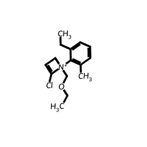 CCOC[N+]1(c2c(C)cccc2CC)CC=C1Cl